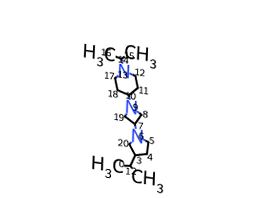 CC(C)C1CCN(C2CN(C3CCN(C(C)C)CC3)C2)C1